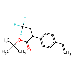 C=Cc1ccc(C(CC(F)(F)F)C(=O)OC(C)(C)C)cc1